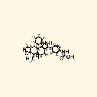 C[C@@H]1c2oncc2C[C@]2(c3ccccc3)c3n[nH]c(-c4ccc(NC(=O)O)nc4)c3CC[C@@H]12